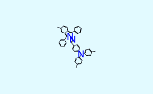 Cc1ccc(N(c2ccc(C)cc2)c2ccc(C=Nn3c(-c4ccccc4)c4ccc(C)cc4c3-c3ccccc3)cc2)cc1